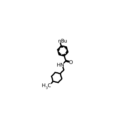 CCCCc1ccc(C(=O)NCC2CCC(C)CC2)cc1